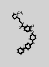 CN1CCCC1CCNC(=O)c1ccc(OC2CCC(Cc3ccc(-c4ccccc4)cc3)CC2)c(Cl)c1